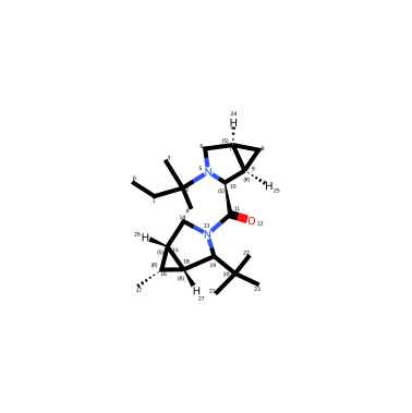 CCC(C)(C)N1C[C@H]2C[C@H]2[C@H]1C(=O)N1C[C@H]2[C@@H](C)[C@H]2C1C(C)(C)C